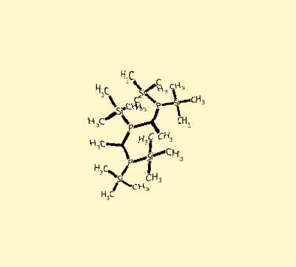 CC(P(C(C)P([Si](C)(C)C)[Si](C)(C)C)[Si](C)(C)C)P([Si](C)(C)C)[Si](C)(C)C